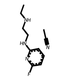 CC#N.CCNCCNc1cccc(F)n1